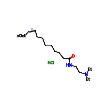 CCCCCCCC/C=C\CCCCCCCC(=O)NCCN(CC)CC.Cl